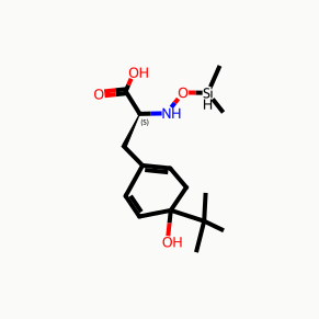 C[SiH](C)ON[C@@H](CC1=CCC(O)(C(C)(C)C)C=C1)C(=O)O